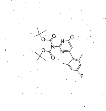 Cc1cc(F)cc(C)c1-c1cc(Cl)nc(N(C(=O)OC(C)(C)C)C(=O)OC(C)(C)C)n1